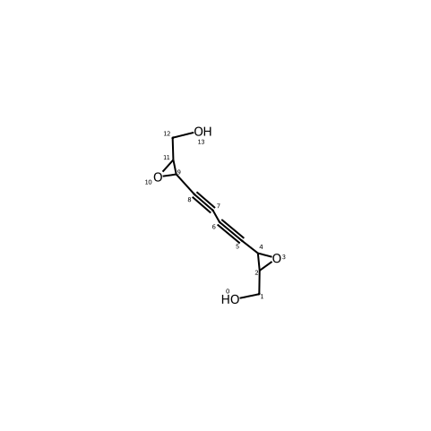 OCC1OC1C#CC#CC1OC1CO